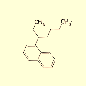 [CH2]CCCC(CC)c1cccc2ccccc12